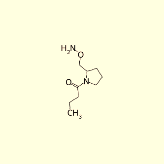 CCCC(=O)N1CCCC1CON